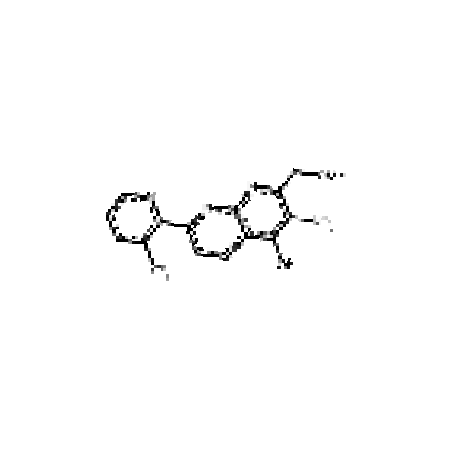 COCc1nc2nc(-c3ncccc3C(F)(F)F)ccc2c(O)c1[N+](=O)[O-]